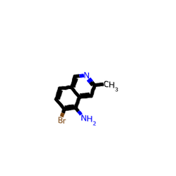 Cc1cc2c(N)c(Br)ccc2cn1